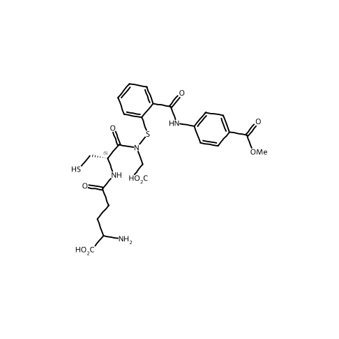 COC(=O)c1ccc(NC(=O)c2ccccc2SN(CC(=O)O)C(=O)[C@@H](CS)NC(=O)CCC(N)C(=O)O)cc1